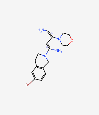 N/C=C(\C=C(/N)N1CCc2cc(Br)ccc2C1)N1CCOCC1